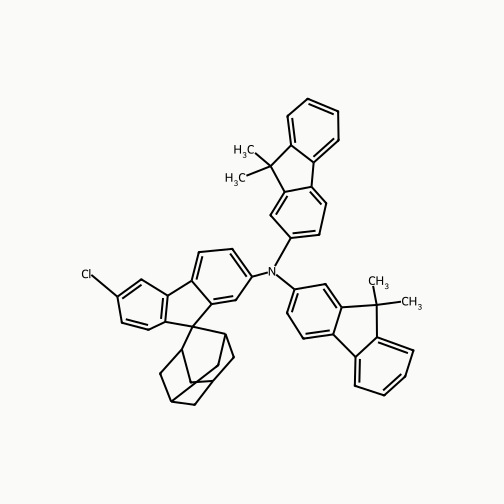 CC1(C)c2ccccc2-c2ccc(N(c3ccc4c(c3)C(C)(C)c3ccccc3-4)c3ccc4c(c3)C3(c5ccc(Cl)cc5-4)C4CC5CC(C4)CC3C5)cc21